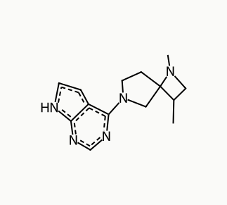 CC1CN(C)C12CCN(c1ncnc3[nH]ccc13)C2